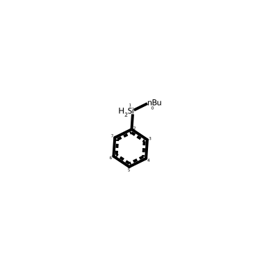 CCCC[SiH2]c1ccccc1